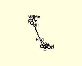 CNC(=O)c1cnc2ccc(NCCCCCCCCCCNC(=O)COc3cccc4c3C(=O)N(C3CCC(=O)NC3=O)C4=O)cc2c1NC1CC1